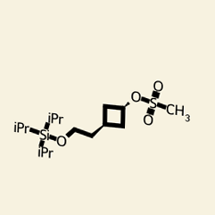 CC(C)[Si](OCC[C@H]1C[C@H](OS(C)(=O)=O)C1)(C(C)C)C(C)C